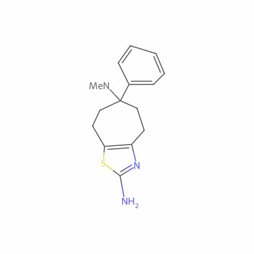 CNC1(c2ccccc2)CCc2nc(N)sc2CC1